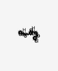 O=C(/C=C/c1cnc(N[C@@H]2CCN(C(=O)c3cccc(Cl)c3)C2)c(Cl)c1)NOC1CCCCO1